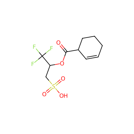 O=C(OC(CS(=O)(=O)O)C(F)(F)F)C1C=CCCC1